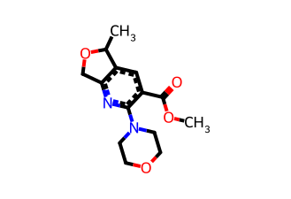 COC(=O)c1cc2c(nc1N1CCOCC1)COC2C